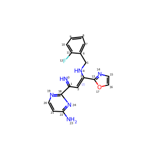 N=C(/C=C(\NCc1ccccc1F)c1ncco1)c1nccc(N)n1